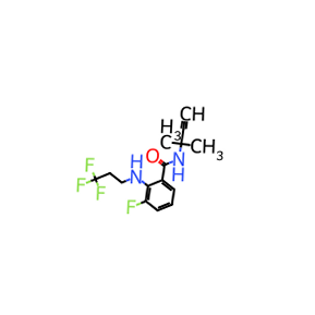 C#CC(C)(C)NC(=O)c1cccc(F)c1NCCC(F)(F)F